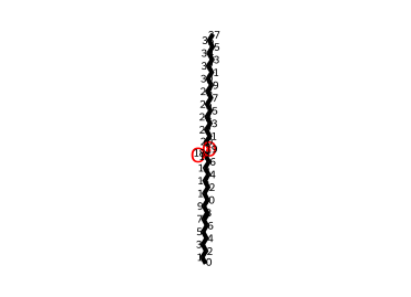 CCCCCCC/C=C/CCCCCCCCC(=O)OCCCCCCCCCCCCCCCCCC